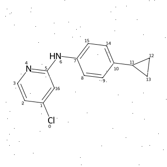 Clc1ccnc(Nc2ccc(C3CC3)cc2)c1